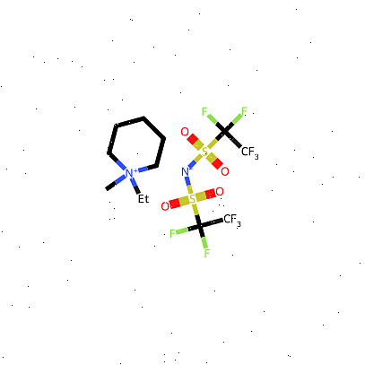 CC[N+]1(C)CCCCC1.O=S(=O)([N-]S(=O)(=O)C(F)(F)C(F)(F)F)C(F)(F)C(F)(F)F